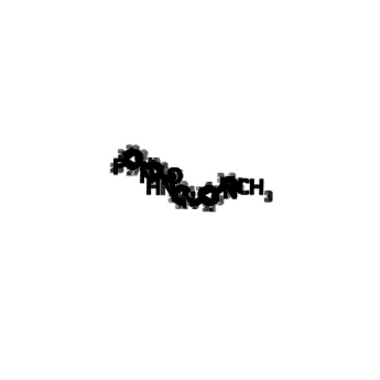 Cn1ccc(-c2ccc(CN3CCC(NC(=O)c4ccc(-c5cccc(F)c5)nc4)CC3)cc2)n1